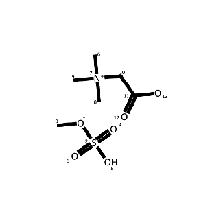 COS(=O)(=O)O.C[N+](C)(C)CC(=O)[O-]